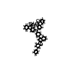 CC1(C)c2ccccc2-c2ccc(N(c3ccc(-c4cc5c(c6ccccc46)OC4C=C(c6ccccc6)C=CC54)cc3)c3ccc4c(c3)C(C)(C)c3ccccc3-4)cc21